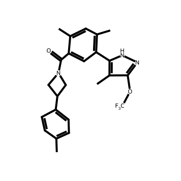 Cc1ccc(C2CN(C(=O)c3cc(-c4[nH]nc(OC(F)(F)F)c4C)c(C)cc3C)C2)cc1